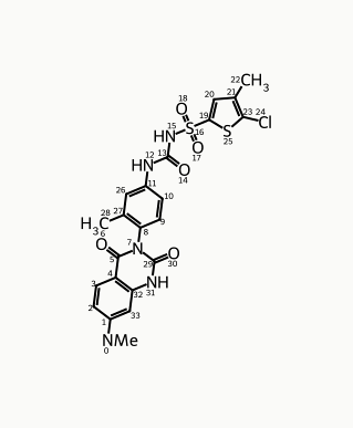 CNc1ccc2c(=O)n(-c3ccc(NC(=O)NS(=O)(=O)c4cc(C)c(Cl)s4)cc3C)c(=O)[nH]c2c1